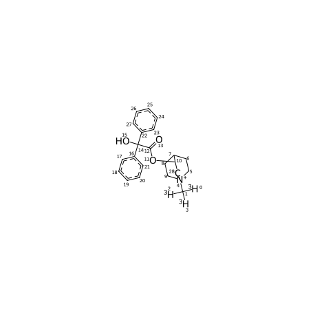 [3H]C([3H])([3H])[N+]12CCC(CC1)C(OC(=O)C(O)(c1ccccc1)c1ccccc1)C2